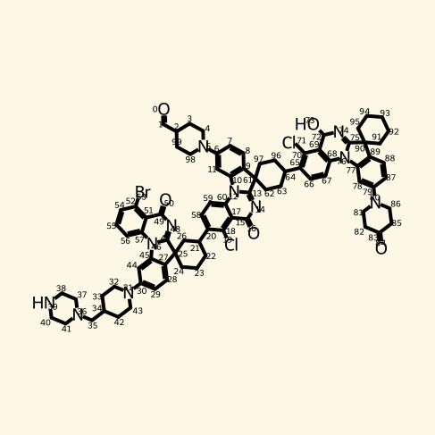 O=CC1CCN(c2ccc3c(c2)-n2c(nc(=O)c4c(Cl)c(C5CCCC6(C5)c5ccc(N7CCC(CN8CCNCC8)CC7)cc5-n5c6nc(=O)c6c(Br)cccc65)ccc42)C32CCC(c3ccc4c(c3Cl)C(O)N=C3N4c4cc(N5CCC(=O)CC5)ccc4C34CCCCC4)CC2)CC1